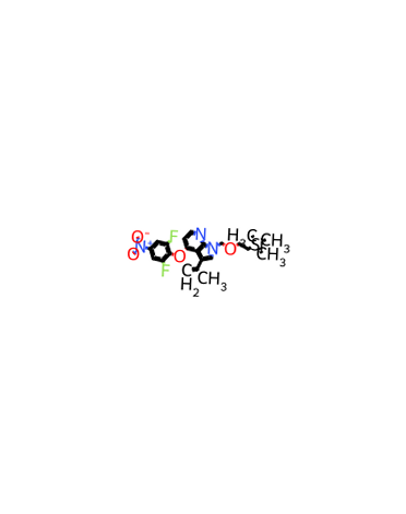 C=C(C)c1cn(COCC[Si](C)(C)C)c2nccc(Oc3c(F)cc([N+](=O)[O-])cc3F)c12